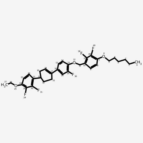 CCCCCCOc1ccc(COc2ccc(C3=CCC(c4ccc(OCC)c(F)c4F)CC3)cc2F)c(F)c1F